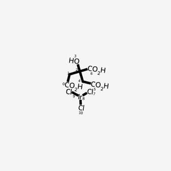 O=C(O)CC(O)(CC(=O)O)C(=O)O.[Cl][Ir]([Cl])[Cl]